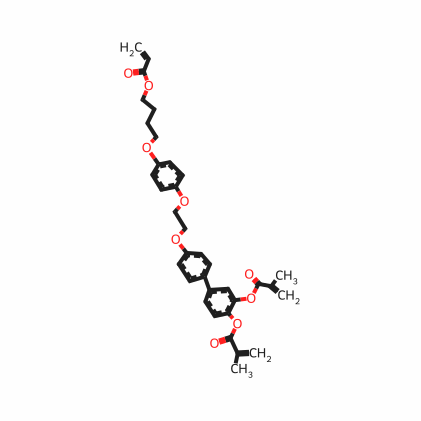 C=CC(=O)OCCCCOc1ccc(OCCOc2ccc(-c3ccc(OC(=O)C(=C)C)c(OC(=O)C(=C)C)c3)cc2)cc1